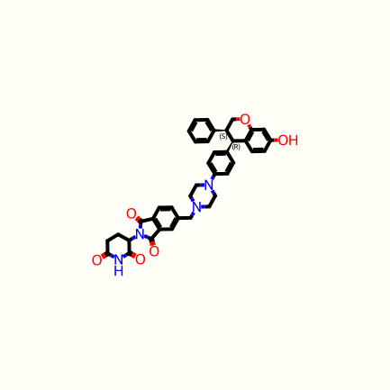 O=C1CCC(N2C(=O)c3ccc(CN4CCN(c5ccc([C@@H]6c7ccc(O)cc7OC[C@@H]6c6ccccc6)cc5)CC4)cc3C2=O)C(=O)N1